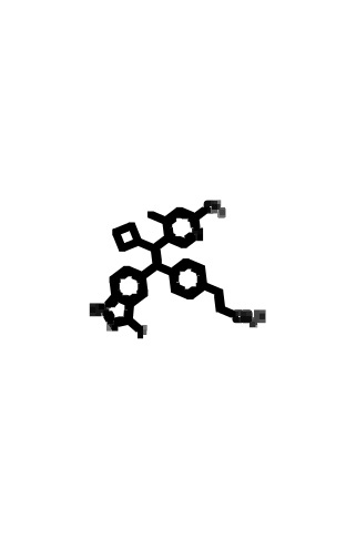 Cc1cc(C(F)(F)F)ncc1/C(=C(\c1ccc(/C=C/C(=O)O)cc1)c1ccc2[nH]nc(F)c2c1)C1CCC1